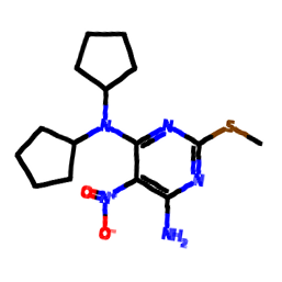 CSc1nc(N)c([N+](=O)[O-])c(N(C2CCCC2)C2CCCC2)n1